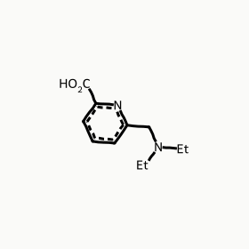 CCN(CC)Cc1cccc(C(=O)O)n1